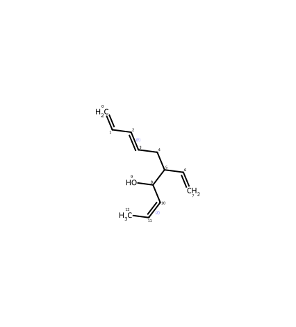 C=C/C=C/CC(C=C)C(O)/C=C\C